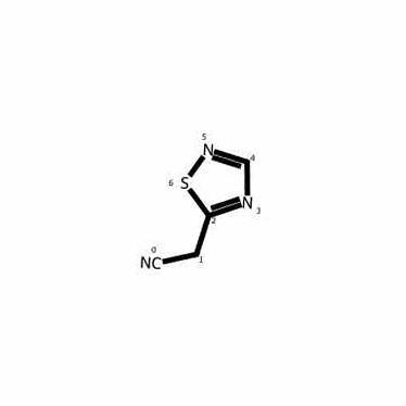 N#CCc1ncns1